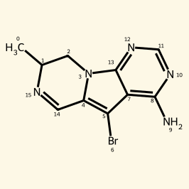 CC1Cn2c(c(Br)c3c(N)ncnc32)C=N1